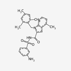 Cc1cc(C)c(Cn2c(C(=O)NS(=O)(=O)c3cccc(N)c3)cc3c(C)cccc32)c(C)c1